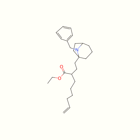 C=CCCCCC(CCC12CCCC(CC1)N2Cc1ccccc1)C(=O)OCC